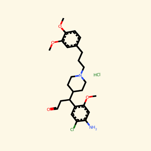 COc1ccc(CCCN2CCC(C(CC=O)c3cc(Cl)c(N)cc3OC)CC2)cc1OC.Cl